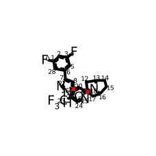 Fc1cc(F)cc(-c2cc(OC3CC4CCC(C3)N4c3ccc(C(F)(F)F)cn3)[nH]n2)c1